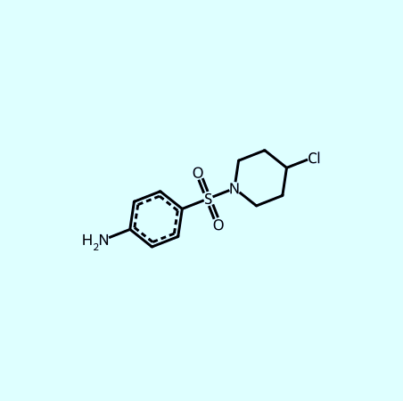 Nc1ccc(S(=O)(=O)N2CCC(Cl)CC2)cc1